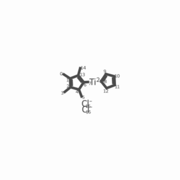 CC1=C(C)C(C)[C]([Ti+2][C]2=CC=CC2)=C1C.[Cl-].[Cl-]